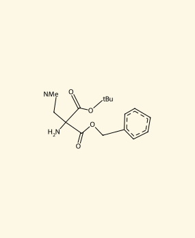 CNCC(N)(C(=O)OCc1ccccc1)C(=O)OC(C)(C)C